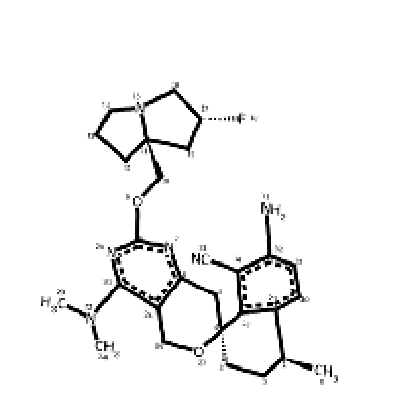 C[C@H]1CC[C@]2(Cc3nc(OC[C@@]45CCCN4C[C@H](F)C5)nc(N(C)C)c3CO2)c2c1ccc(N)c2C#N